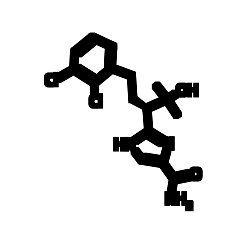 CC(C)(O)[C@H](CCc1cccc(Cl)c1Cl)c1nc(C(N)=O)c[nH]1